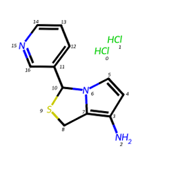 Cl.Cl.Nc1ccn2c1CSC2c1cccnc1